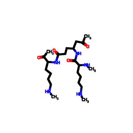 CNCCCCC(NC(=O)CCC(CC(C)=O)NC(=O)C(CCCCNC)NC)C(C)=O